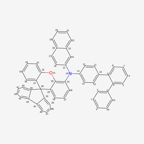 c1ccc(-c2ccccc2-c2ccc(N(c3ccc4ccccc4c3)c3cccc4c3Oc3ccccc3C43c4ccccc4-c4ccccc43)cc2)cc1